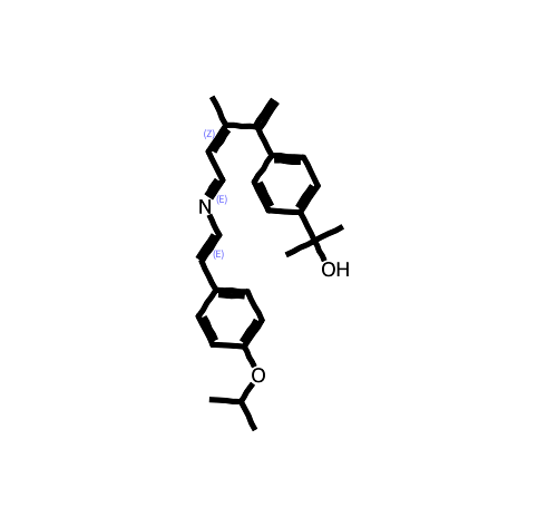 C=C(\C(C)=C/C=N/C=C/c1ccc(OC(C)C)cc1)c1ccc(C(C)(C)O)cc1